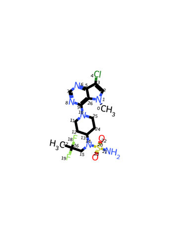 Cn1cc(Cl)c2ncnc(N3CCC(N(CC(C)(F)F)S(N)(=O)=O)CC3)c21